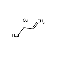 BCC=C.[Cu]